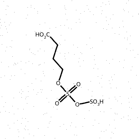 O=C(O)CCCOS(=O)(=O)OS(=O)(=O)O